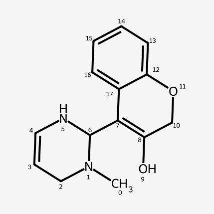 CN1CC=CNC1C1=C(O)COc2ccccc21